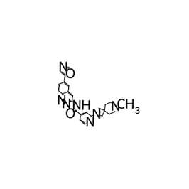 CN1CCC2(CC1)CN(c1cc(C(=O)Nc3cc4cc(-c5cnco5)ccc4nn3)ccn1)C2